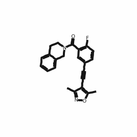 Cc1noc(C)c1C#Cc1ccc(F)c(C(=O)N2CCc3ccccc3C2)c1